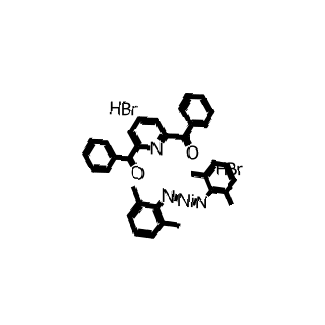 Br.Br.Cc1cccc(C)c1[N]=[Ni]=[N]c1c(C)cccc1C.O=C(c1ccccc1)c1cccc(C(=O)c2ccccc2)n1